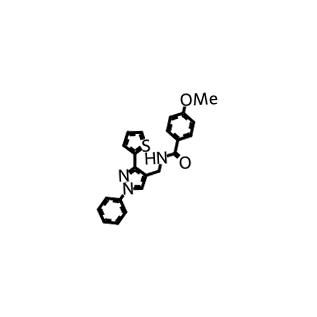 COc1ccc(C(=O)NCc2cn(-c3ccccc3)nc2-c2cccs2)cc1